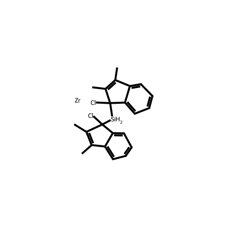 CC1=C(C)C(Cl)([SiH2]C2(Cl)C(C)=C(C)c3ccccc32)c2ccccc21.[Zr]